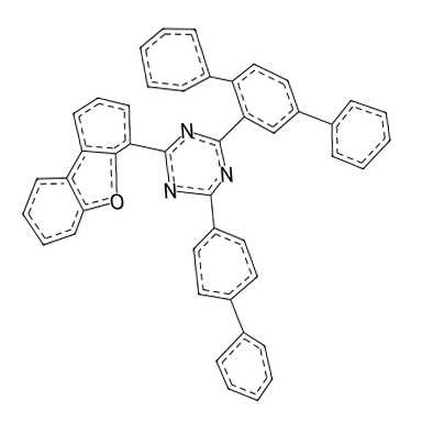 c1ccc(-c2ccc(-c3nc(-c4cc(-c5ccccc5)ccc4-c4ccccc4)nc(-c4cccc5c4oc4ccccc45)n3)cc2)cc1